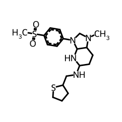 CN1CN(c2ccc(S(C)(=O)=O)cc2)C2NC(NCC3CCCS3)CCC21